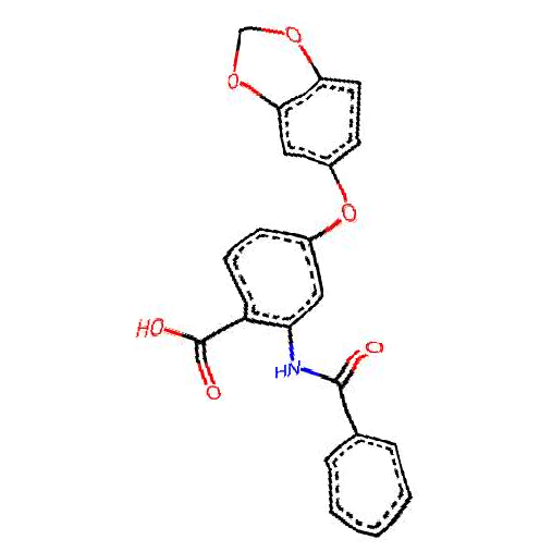 O=C(Nc1cc(Oc2ccc3c(c2)OCO3)ccc1C(=O)O)c1ccccc1